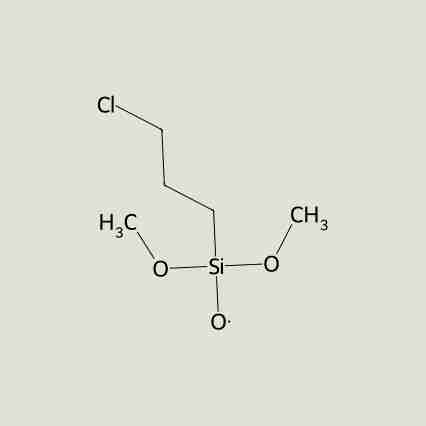 CO[Si]([O])(CCCCl)OC